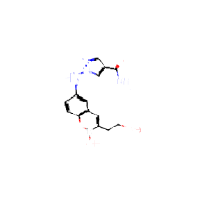 NC(=O)c1cnn(Nc2ccc3c(c2)C=C(CCO)B(O)O3)c1